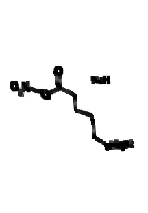 CCCCCCCCCCCC(=O)O[N+](=O)[O-].[NaH]